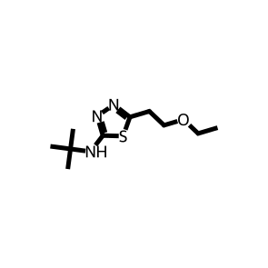 CCOCCc1nnc(NC(C)(C)C)s1